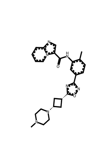 Cc1ccc(-c2noc([C@H]3C[C@@H](N4CCN(C)CC4)C3)n2)cc1NC(=O)c1cnc2ccccn12